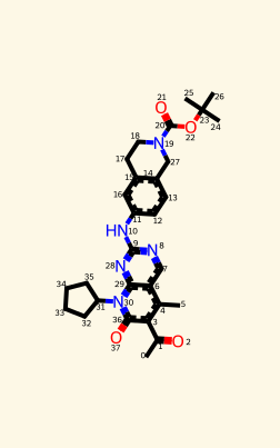 CC(=O)c1c(C)c2cnc(Nc3ccc4c(c3)CCN(C(=O)OC(C)(C)C)C4)nc2n(C2CCCC2)c1=O